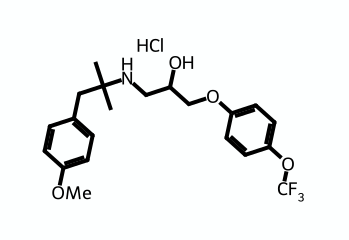 COc1ccc(CC(C)(C)NCC(O)COc2ccc(OC(F)(F)F)cc2)cc1.Cl